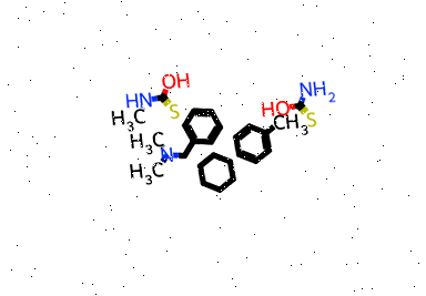 C1CCCCC1.CN(C)Cc1ccccc1.CNC(O)=S.Cc1ccccc1.NC(O)=S